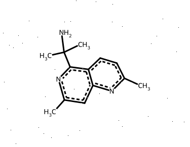 Cc1cc2nc(C)ccc2c(C(C)(C)N)n1